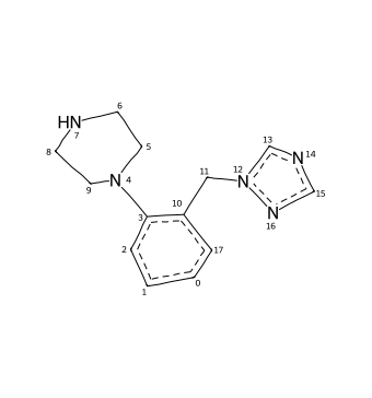 c1ccc(N2CCNCC2)c(Cn2cncn2)c1